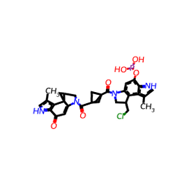 Cc1c[nH]c2c1C13CC1CN(C(=O)C14CC(C(=O)N5CC(CCl)c6c5cc(OP(O)O)c5[nH]cc(C)c65)(C1)C4)C3=CC2=O